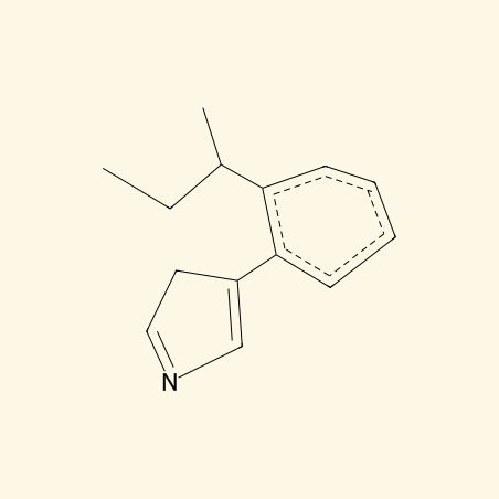 CCC(C)c1ccccc1C1=CN=CC1